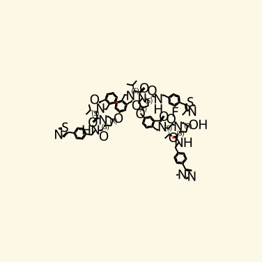 Cc1ncsc1-c1ccc(CNC(=O)[C@@H]2C[C@@H](Oc3ccc4c(c3)C(=O)N([C@H](C(=O)N3C[C@H](O)C[C@H]3C(=O)NCc3ccc(-c5cncn5C)cc3)C(C)C)C4)CN2C(=O)[C@H](C(C)C)N2Cc3ccc(O[C@@H]4C[C@@H](C(=O)NCc5ccc(-c6cncs6)cc5)N(C(=O)[C@H](C(C)C)N5Cc6ccccc6C5=O)C4)cc3C2=O)cc1F